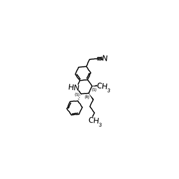 CCCC[C@@H]1[C@H](C)C2=CC(CC#N)CC=C2N[C@H]1C1C=CC=CC1